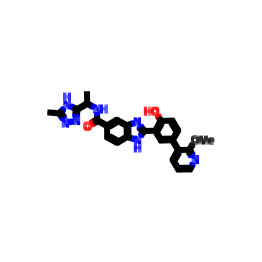 COc1ncccc1-c1ccc(O)c(-c2nc3cc(C(=O)NC(C)c4nnc(C)[nH]4)ccc3[nH]2)c1